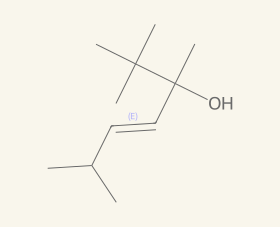 CC(C)/C=C/C(C)(O)C(C)(C)C